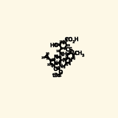 Cc1cn2cc(CN(C(=O)OC(C)(C)C)c3cc(NCC4CCN(C(=O)O)CC4O)nc4c(C5CC5)cnn34)nc2cc1C(F)(F)F